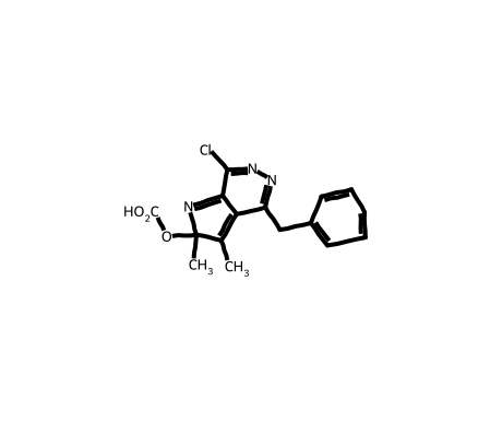 CC1=c2c(Cc3ccccc3)nnc(Cl)c2=NC1(C)OC(=O)O